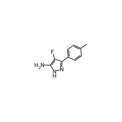 Cc1ccc(-c2n[nH]c(N)c2F)cc1